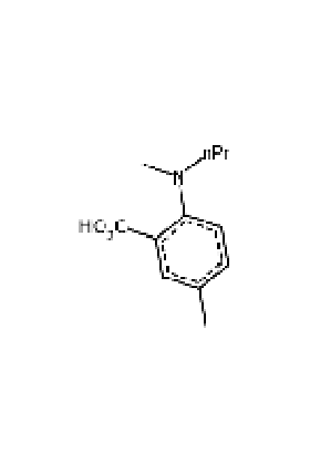 CCCN(C)c1ccc(C)cc1C(=O)O